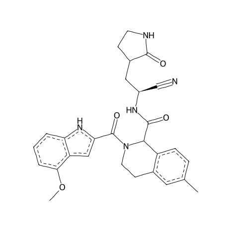 COc1cccc2[nH]c(C(=O)N3CCc4cc(C)ccc4C3C(=O)N[C@H](C#N)CC3CCNC3=O)cc12